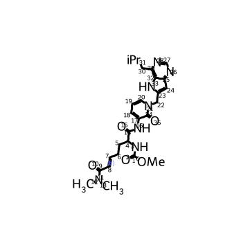 COC(=O)NC(CC/C=C/C(=O)N(C)C)C(=O)Nc1cccn(Cc2cc3ncnc(CC(C)C)c3[nH]2)c1=O